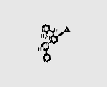 Nc1ncccc1C(=O)c1nc(N2CCNC(c3ccccc3)C2)ccc1C#CC1CC1